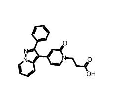 O=C(O)CCn1ccc(-c2c(-c3ccccc3)nn3ccccc23)cc1=O